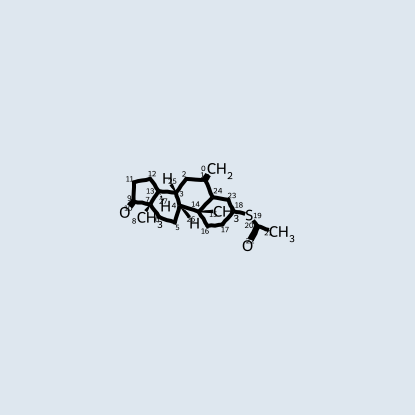 C=C1C[C@@H]2[C@@H](CC[C@]3(C)C(=O)CC[C@@H]23)[C@@]2(C)CCC(SC(C)=O)CC12